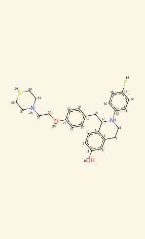 Oc1ccc2c(c1)CCN(c1ccc(F)cc1)C2Cc1ccc(OCCN2CCSCC2)cc1